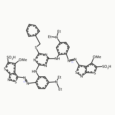 CCN(CC)c1ccc(/N=N/c2snc3sc(S(=O)(=O)O)c(OC)c23)c(Nc2nc(Nc3cc(N(CC)CC)ccc3/N=N/c3snc4sc(S(=O)(=O)O)c(OC)c34)nc(SCc3ccccc3)n2)c1